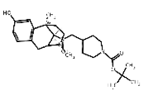 CN1CC[C@]2(C)c3cc(O)ccc3CC1[C@@H]2N(C)CC1CCN(C(=O)OC(C)(C)C)CC1